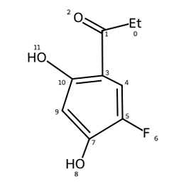 CCC(=O)c1cc(F)c(O)cc1O